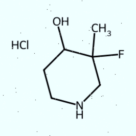 CC1(F)CNCCC1O.Cl